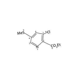 CCOC(=O)c1ncc(SC)cc1Cl